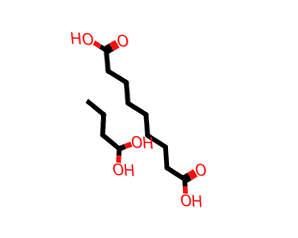 CCCC(O)O.O=C(O)CCCCCCCC(=O)O